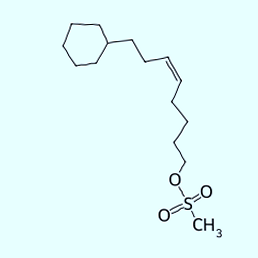 CS(=O)(=O)OCCCC/C=C\CCC1CCCCC1